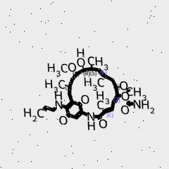 C=CCNC1=C2C[C@H](C)C[C@H](OC)[C@H](O)[C@@H](C)/C=C(\C)C[C@H](OC)/C(OC(N)=O)=C/C=C(\C)C(=O)NC(=CC1=O)C2=O